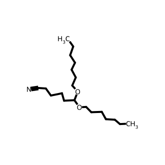 CCCCCCCOC(CCCCC#N)OCCCCCCC